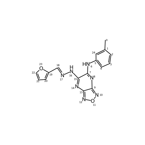 Cc1cccc(Nc2nc3nonc3nc2NN=Cc2ccco2)c1